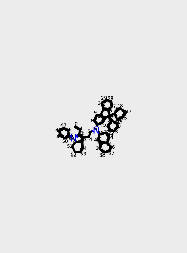 C=Cc1c(CCN(c2ccc3c(c2)C(c2ccccc2)(c2ccccc2)c2ccccc2-3)c2ccc3ccccc3c2)c2c(n1-c1ccccc1)CCC=C2